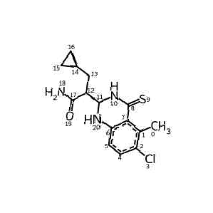 Cc1c(Cl)ccc2c1C(=S)NC(C(CC1CC1)C(N)=O)N2